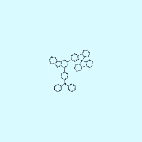 c1ccc(N(c2ccccc2)c2ccc(-c3cc(-c4ccc5c(c4)C4(c6ccccc6-c6ccccc64)c4ccccc4-5)cc4c3sc3ccccc34)cc2)cc1